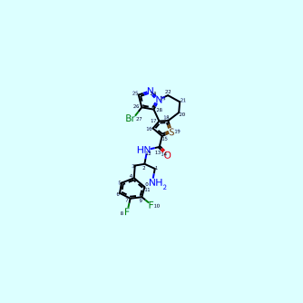 NCC(Cc1ccc(F)c(F)c1)NC(=O)c1cc2c(s1)CCCn1ncc(Br)c1-2